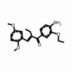 CCOc1cc(C(=O)/C(=C/c2cc(OC)ccc2OC)CC)ccc1N